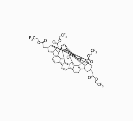 O=C(CC1C=C2c3ccc4c5ccc6c7ccc8c9c%10c%11c%12c%13c%14c(c3c4c%13c5c6c%12c97)C2(CC(=O)OCC(F)(F)F)C2=C1C1C(=C2[C@@]%14%11CC(=O)OCC(F)(F)F)C%10(CC(=O)OCC(F)(F)F)C8CC1CC(=O)OCC(F)(F)F)OCC(F)(F)F